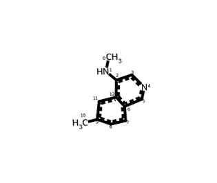 CNc1cncc2ccc(C)cc12